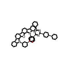 c1ccc(-c2ccc(-c3nc(-c4ccccc4)nc(-c4ccccc4-n4c5ccccc5c5ccc6c7ccc8c9ccccc9n(-c9cccc(-c%10ccccc%10)c9)c8c7oc6c54)n3)cc2)cc1